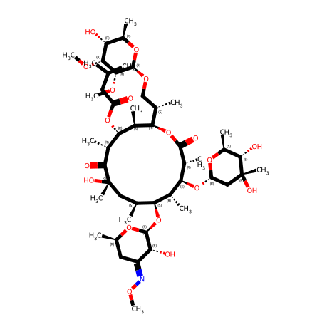 CON=C1C[C@@H](C)O[C@@H](O[C@@H]2[C@@H](C)[C@H](O[C@H]3C[C@@](C)(O)[C@@H](O)[C@H](C)O3)[C@@H](C)C(=O)O[C@H]([C@@H](C)CO[C@@H]3O[C@H](C)[C@@H](O)[C@@H](OC)[C@H]3OC)[C@H](C)[C@@H](OC(=O)CC(C)C)[C@@H](C)C(=O)[C@@](C)(O)C[C@@H]2C)[C@@H]1O